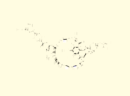 C/C1=C/C=C/C(C)[C@H](O)[C@@H](C)C(O)[C@@H](C)[C@H](OC(=O)CC(=O)N2CCN(CCN(C)C)CC2)CC/C=C/O[C@@]2(C)Oc3c(C)c(O)c4c(c3C2=O)C2=NC3(CCN(CC(C)C)CC3)NC2=C(NC1=O)C4=O